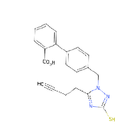 C#CCCc1nc(S)nn1Cc1ccc(-c2ccccc2C(=O)O)cc1